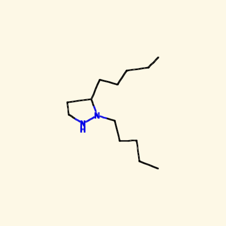 CCCCCC1CCNN1CCCCC